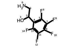 NCC(O)c1c(F)c(F)c(F)c(F)c1F